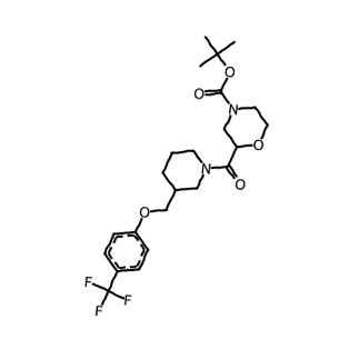 CC(C)(C)OC(=O)N1CCOC(C(=O)N2CCCC(COc3ccc(C(F)(F)F)cc3)C2)C1